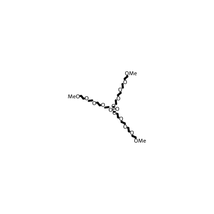 COCCOCCOCCOCCOP(=O)(OCCOCCOCCOCCOC)OCCOCCOCCOCCOC